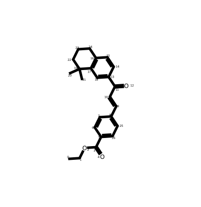 CCOC(=O)c1ccc(C=CC(=O)c2ccc3c(c2)C(C)(C)CCC3)cc1